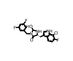 O=C1[C@@H](Cc2c[nH]c3c(Cl)c(F)ccc23)NC(O)N1Cc1cc(F)cc(F)c1